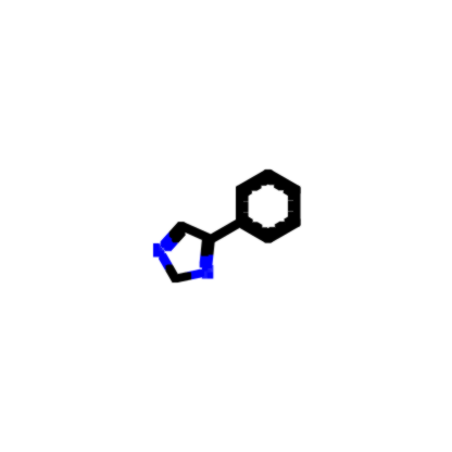 C1=NCN=C1c1ccccc1